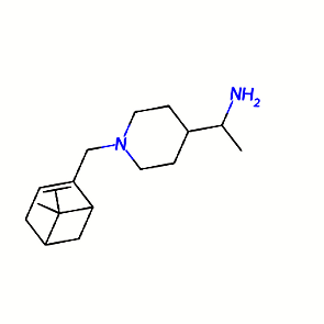 CC(N)C1CCN(CC2=CCC3CC2C3(C)C)CC1